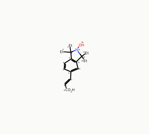 CCC1(CC)c2ccc(/C=C/C(=O)O)cc2C(CC)(CC)N1O